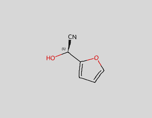 N#C[C@H](O)c1ccco1